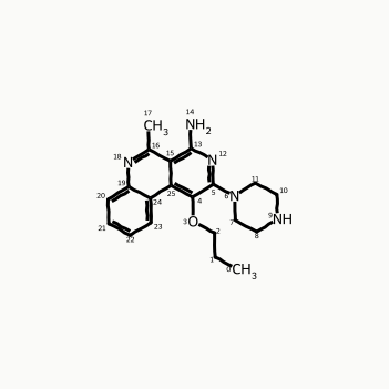 CCCOc1c(N2CCNCC2)nc(N)c2c(C)nc3ccccc3c12